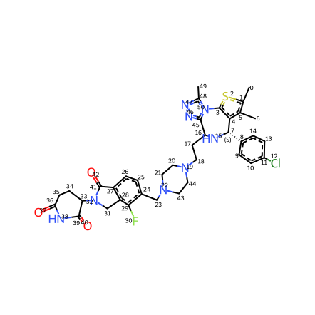 Cc1sc2c(c1C)[C@H](c1ccc(Cl)cc1)NC(CCN1CCN(Cc3ccc4c(c3F)CN(C3CCC(=O)NC3=O)C4=O)CC1)c1nnc(C)n1-2